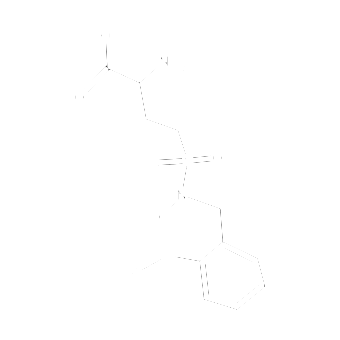 COc1ccccc1CN(C)S(=O)(=O)CCC(N)C(=O)O